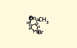 CC(Br)c1cc(Br)ccc1C=O